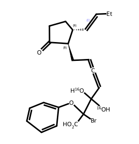 CC/C=C/[C@H]1CCC(=O)[C@@H]1CC=C=CC([16OH])([16OH])C(Br)(Oc1ccccc1)C(=O)O